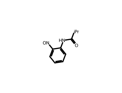 CC(C)C(=O)Nc1ccccc1N=O